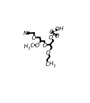 CCCOCC(COS(=O)(=O)O)OCC(COCC#N)OC